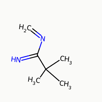 C=NC(=N)C(C)(C)C